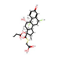 CCC(=O)O[C@]1(C(=O)SCC(=O)O)[C@H](C)CC2C3C[C@H](F)C4=CC(=O)C=C[C@]4(C)[C@@]3(F)[C@@H](O)C[C@@]21C